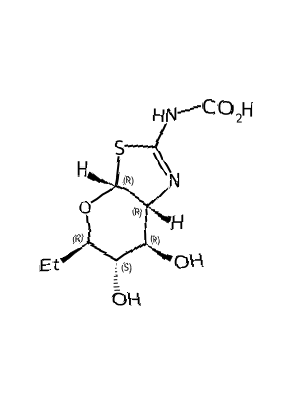 CC[C@H]1O[C@@H]2SC(NC(=O)O)=N[C@@H]2[C@@H](O)[C@@H]1O